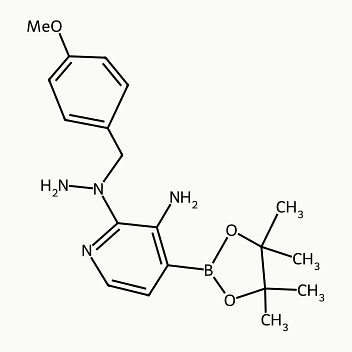 COc1ccc(CN(N)c2nccc(B3OC(C)(C)C(C)(C)O3)c2N)cc1